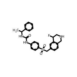 CC(NC(=O)Nc1ccc(S(=O)(=O)Cc2ccc3c(c2)C(F)CNC3)cc1)c1ccccc1